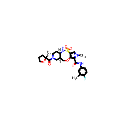 Cc1cc(NC(=O)c2c3c(cn2C)S(=O)(=O)N[C@@H]2CCN(C(=O)C4(C)CCCO4)C[C@H]2CO3)ccc1F